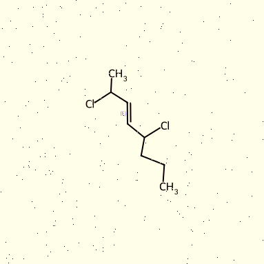 CCCC(Cl)/C=C/C(C)Cl